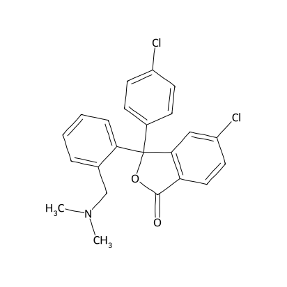 CN(C)Cc1ccccc1C1(c2ccc(Cl)cc2)OC(=O)c2ccc(Cl)cc21